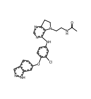 CC(=O)NCCN1CCc2ncnc(Nc3ccc(Oc4ccc5cn[nH]c5c4)c(Cl)c3)c21